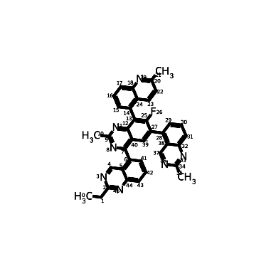 CCc1ncc2c(-c3nc(C)nc4c(-c5cccc6nc(C)ccc56)c(F)c(-c5cccc6nc(C)ncc56)[c]c34)cccc2n1